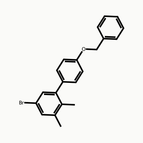 Cc1cc(Br)cc(-c2ccc(OCc3ccccc3)cc2)c1C